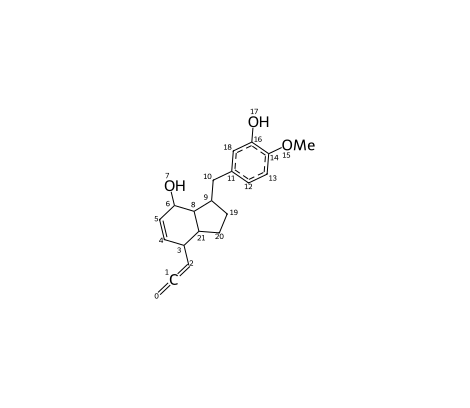 C=C=CC1C=CC(O)C2C(Cc3ccc(OC)c(O)c3)CCC12